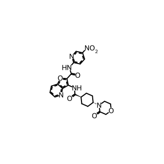 O=C(Nc1ccc([N+](=O)[O-])cn1)c1oc2cccnc2c1NC(=O)[C@H]1CC[C@H](N2CCOCC2=O)CC1